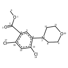 COC(=O)c1cc(N2CCOCC2)c(Cl)cc1Cl